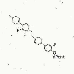 CCCCCOc1ccc(-c2ccc(CCc3ccc(C4=CCC(C)CC4)c(F)c3F)cc2)cc1F